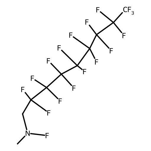 CN(F)CC(F)(F)C(F)(F)C(F)(F)C(F)(F)C(F)(F)C(F)(F)C(F)(F)C(F)(F)F